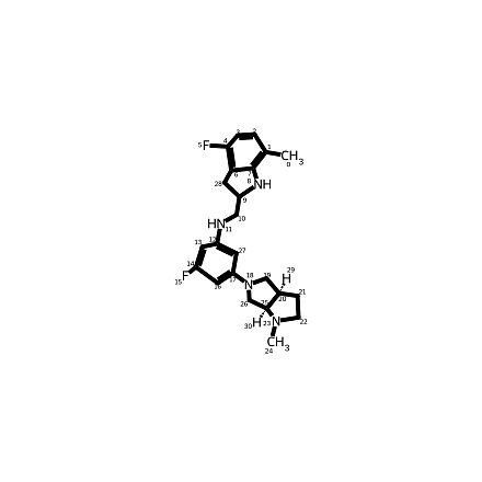 Cc1ccc(F)c2c1NC(CNc1cc(F)cc(N3C[C@H]4CCN(C)[C@H]4C3)c1)C2